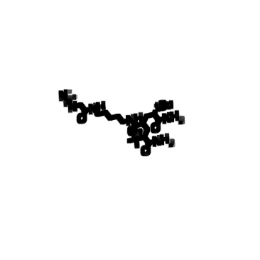 CCC(C)(C)C(CC(CC(C(N)=O)C(C)(C)C)C(=O)NCCCCCNC(=O)CN=[N+]=[N-])C(N)=O